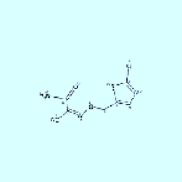 N#C/C(=N/OCc1cnc(Cl)s1)C(N)=O